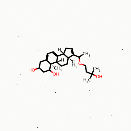 CC(OCCC(C)(C)O)C1=CC[C@H]2C3=CC=C4CC(O)CC(O)[C@]4(C)[C@H]3CC[C@]12C